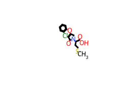 CSCCC(C(=O)O)N1CC(Oc2ccccc2Cl)=CC1=O